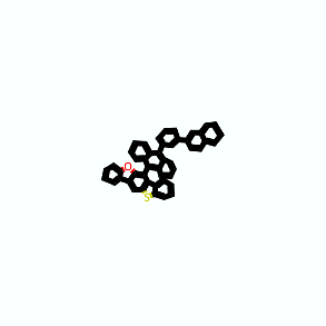 c1cc(-c2ccc3ccccc3c2)cc(-c2c3ccccc3c(-c3c4oc5ccccc5c4cc4sc5ccccc5c34)c3ccccc23)c1